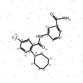 NC(=O)c1cncc(NC(=O)c2cc(C(F)(F)F)cnc2N2CCCCCC2)c1